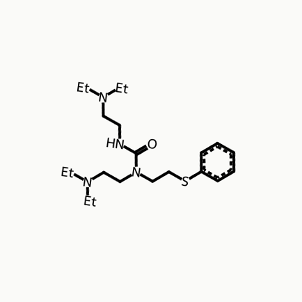 CCN(CC)CCNC(=O)N(CCSc1ccccc1)CCN(CC)CC